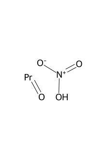 O=[N+]([O-])O.[O]=[Pr]